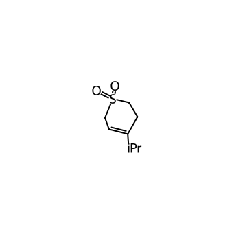 CC(C)C1=CCS(=O)(=O)CC1